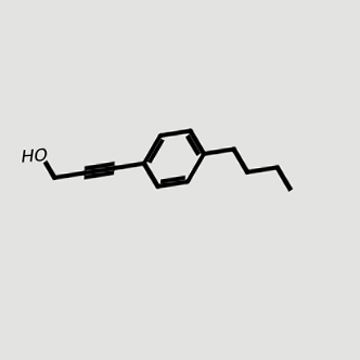 CCCCc1ccc(C#CCO)cc1